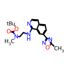 Cc1nc(-c2ccc3ccnc(NCCN(C)C(=O)OC(C)(C)C)c3c2)no1